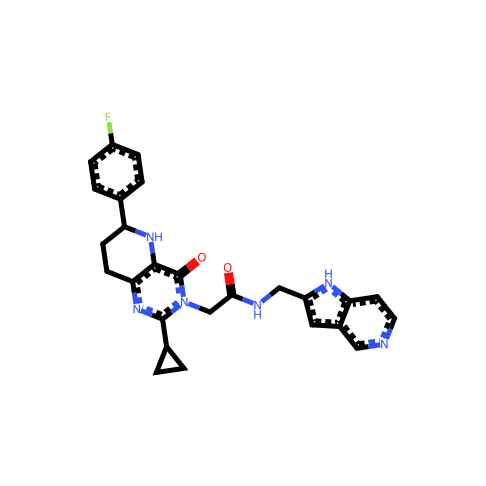 O=C(Cn1c(C2CC2)nc2c(c1=O)NC(c1ccc(F)cc1)CC2)NCc1cc2cnccc2[nH]1